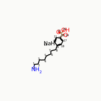 NCCCCCCCCc1ccc(S(=O)(=O)O)cc1.[NaH]